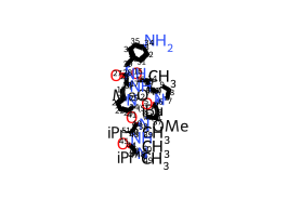 CC[C@H](C)[C@@H]([C@@H](CC(=O)N1CCC[C@H]1[C@H](OC)[C@@H](C)C(=O)N[C@@H](Cc1ccccn1)C(=O)NCc1ccc(N)cc1)OC)N(C)C(=O)[C@@H](NC(=O)[C@H](C(C)C)N(C)C)C(C)C